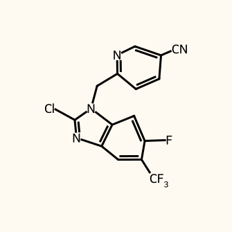 N#Cc1ccc(Cn2c(Cl)nc3cc(C(F)(F)F)c(F)cc32)nc1